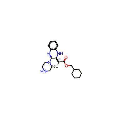 N#C/C(C(=O)OCC1CCCCC1)=C1/Nc2ccccc2N=C1N1CCNCC1